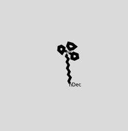 CCCCCCCCCCCCCCCCCCC[N+](c1ccccc1)(c1ccccc1)c1ccccc1